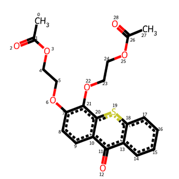 CC(=O)OCCOc1ccc2c(=O)c3ccccc3sc2c1OCCOC(C)=O